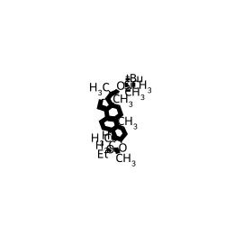 CCOC(C)O[C@H]1CC[C@]2(C)C3=C(CC[C@H]2C1(C)C)C1=CC[C@H]([C@H](C)CO[Si](C)(C)C(C)(C)C)[C@@]1(C)CC3